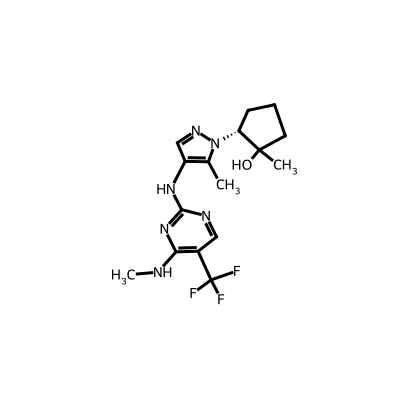 CNc1nc(Nc2cnn([C@@H]3CCCC3(C)O)c2C)ncc1C(F)(F)F